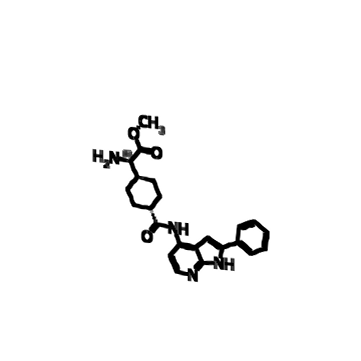 COC(=O)[C@H](N)[C@H]1CC[C@H](C(=O)Nc2ccnc3[nH]c(-c4ccccc4)cc23)CC1